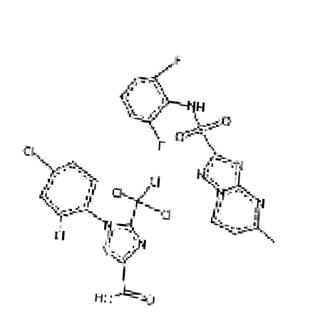 Cc1ccn2nc(S(=O)(=O)Nc3c(F)cccc3F)nc2n1.O=C(O)c1nc(C(Cl)(Cl)Cl)n(-c2ccc(Cl)cc2Cl)n1